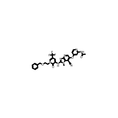 CC(=O)Nc1cc(Oc2cnc3nc(Nc4cc(C(F)(F)F)cn(CCOCc5ccccc5)c4=O)n(C)c3c2C#N)ccn1